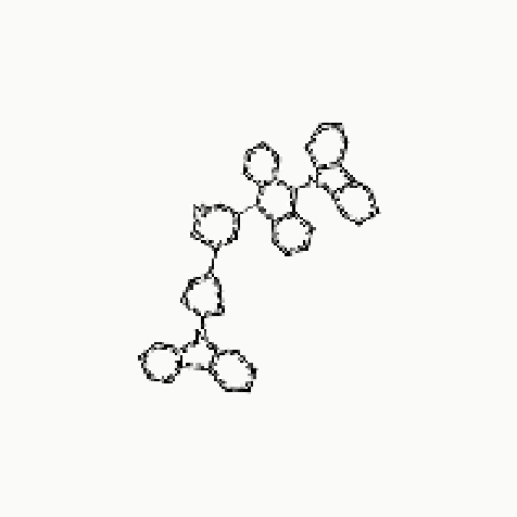 c1ccc2c(-n3c4ccccc4c4ccccc43)c3ccccc3c(-c3cncc(-c4ccc(-n5c6ccccc6c6ccccc65)cc4)c3)c2c1